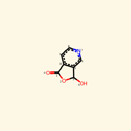 O=C1OC(O)c2cnccc21